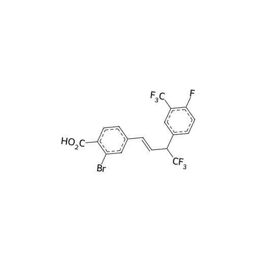 O=C(O)c1ccc(C=CC(c2ccc(F)c(C(F)(F)F)c2)C(F)(F)F)cc1Br